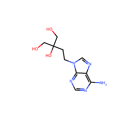 Nc1ncnc2c1ncn2CCC(O)(CO)CO